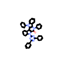 O=c1c2c(c3ccccc3n2-c2nc(-c3ccccc3)nc(-c3ccccc3)n2)c2c(c3ccccc3n2-c2ccccc2)n1-c1ccccc1